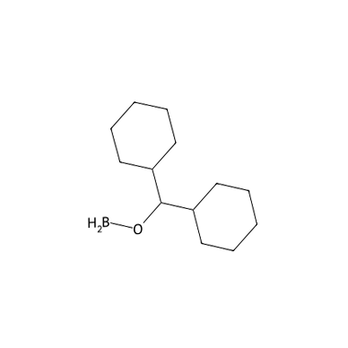 BOC(C1CCCCC1)C1CCCCC1